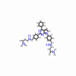 CC(CCNCc1ccc(-c2nc(-c3ccccc3)c3ccn(-c4ccc(CNCCC(C)N(C)C)cc4)c3n2)cc1)N(C)C